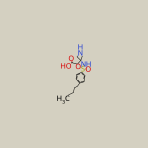 CCCCCc1ccc(S(=O)(=O)NC2(CC(=O)O)CNC2)cc1